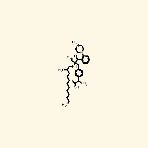 CCCCCCCCCCC(C)CNC(CC)(Cc1ccc(C(C)C(=O)O)cc1)C(=O)c1ccccc1N1CCN(C)CC1